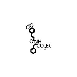 CCOC(=O)[C@H](Cc1ccccc1)NC(=O)/C=C/c1ccc2c(c1)OCO2